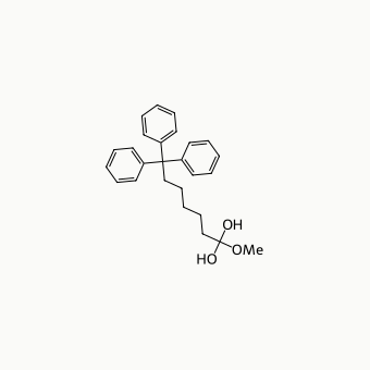 COC(O)(O)CCCCCC(c1ccccc1)(c1ccccc1)c1ccccc1